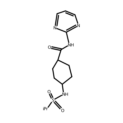 CC(C)S(=O)(=O)NC1CCC(C(=O)Nc2ncccn2)CC1